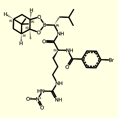 CC(C)C[C@H](NC(=O)[C@H](CCCNC(=N)N[N+](=O)[O-])NC(=O)c1ccc(Br)cc1)B1O[C@@H]2C[C@@H]3C[C@@H](C3(C)C)[C@]2(C)O1